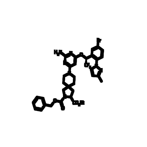 CCOC(=O)C1CC2(CCN(c3cc(O[C@H](c4cc(Br)ccc4-n4ccc(C)n4)C(F)(F)F)nc(N)n3)CC2)CN1C(=O)OCc1ccccc1